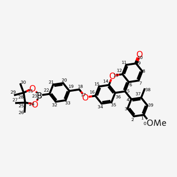 COc1ccc(-c2c3ccc(=O)cc-3oc3cc(OCc4ccc(B5OC(C)(C)C(C)(C)O5)cc4)ccc23)c(C)c1